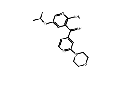 CC(C)Oc1cnc(N)c(C(=N)c2ccnc(N3CCOCC3)c2)c1